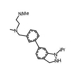 CNCCN(C)Cc1cccc(-c2ccc3c(c2)N(C(C)C)NC3)c1